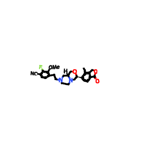 COc1c(CCN2CCN3C[C@@H](c4ccc5c(c4C)COC5=O)OC[C@@H]3C2)ccc(C#N)c1F